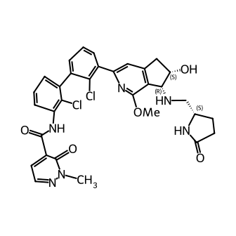 COc1nc(-c2cccc(-c3cccc(NC(=O)c4ccnn(C)c4=O)c3Cl)c2Cl)cc2c1[C@@H](NC[C@@H]1CCC(=O)N1)[C@@H](O)C2